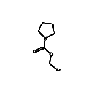 CC(=O)COC(=O)N1CCCC1